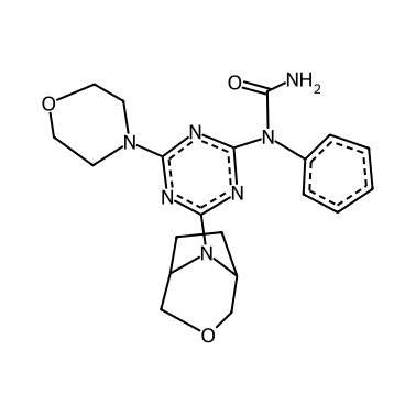 NC(=O)N(c1ccccc1)c1nc(N2CCOCC2)nc(N2C3CCC2COC3)n1